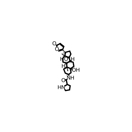 C[C@]12CC[C@H](NC(=O)C3CCCN3)C[C@@]1(O)CC[C@@H]1[C@@H]2CC[C@]2(C)[C@@H](c3ccc(=O)oc3)CC[C@]12O